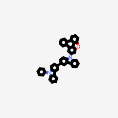 c1ccc(-n2c3ccccc3c3cc(-c4ccc5c(c4)c4ccccc4n5-c4cc5oc6cccc7c8ccccc8c(c4)c5c67)ccc32)cc1